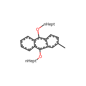 CCCCCCCOc1c2ccccc2c(OCCCCCCC)c2cc(C)ccc12